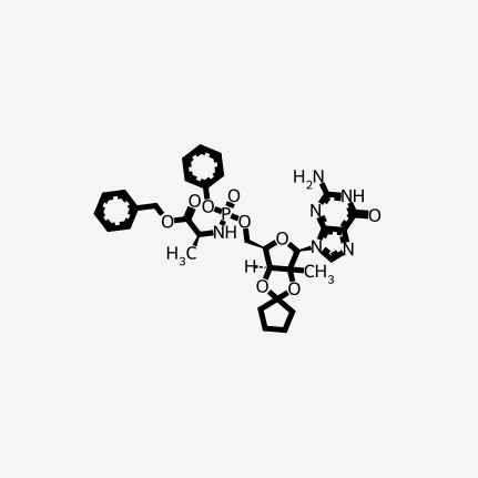 C[C@H](NP(=O)(OC[C@H]1O[C@@H](n2cnc3c(=O)[nH]c(N)nc32)C2(C)OC3(CCCC3)O[C@@H]12)Oc1ccccc1)C(=O)OCc1ccccc1